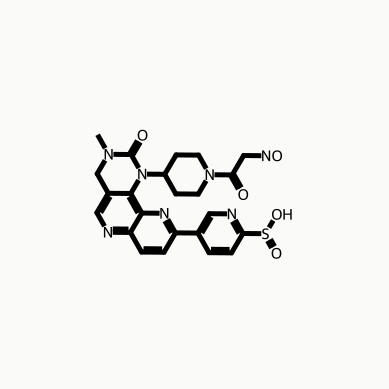 CN1Cc2cnc3ccc(-c4ccc(S(=O)O)nc4)nc3c2N(C2CCN(C(=O)CN=O)CC2)C1=O